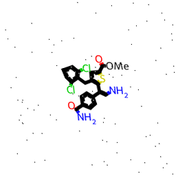 COC(=O)c1cc(Cc2c(Cl)cccc2Cl)c(/C(=C\N)c2ccc(C(N)=O)cc2)s1